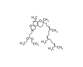 CCOC(CCN1COc2cc(C)c3c(c2C1)CCC(C)(CCC=C(C)CCC=C(C)CCC=C(C)C)O3)OCC